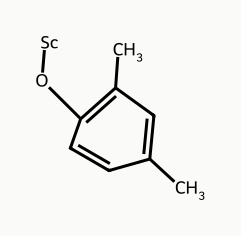 Cc1ccc([O][Sc])c(C)c1